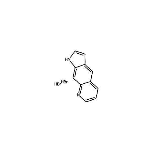 Br.Br.c1cnc2cc3[nH]ccc3cc2c1